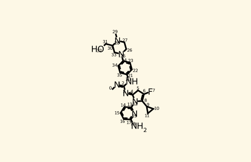 C/N=C(\N=C1/CC(F)=C(C2CC2)N1c1cccc(N)n1)Nc1ccc(N2CCN(C)C(CO)C2)cc1